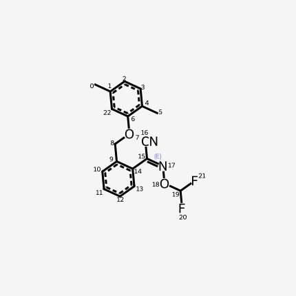 Cc1ccc(C)c(OCc2ccccc2/C(C#N)=N\OC(F)F)c1